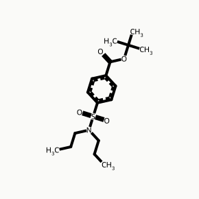 CCCN(CCC)S(=O)(=O)c1ccc(C(=O)OC(C)(C)C)cc1